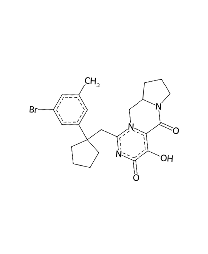 Cc1cc(Br)cc(C2(Cc3nc(=O)c(O)c4n3CC3CCCN3C4=O)CCCC2)c1